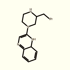 CC(C)CC1CN(C2=CN=C3C=CC=CC3N2)CCN1